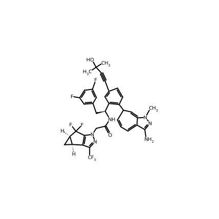 Cn1nc(N)c2c1=CC(c1ccc(C#CC(C)(C)O)cc1[C@H](Cc1cc(F)cc(F)c1)NC(=O)Cn1nc(C(F)(F)F)c3c1C(F)(F)[C@@H]1C[C@H]31)C=CC=2